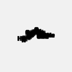 COc1ccc2nc(C(=O)N3CCC4(CC3)CC(=O)c3cc(-c5cn[nH]c5)ccc3O4)cc(OC)c2c1